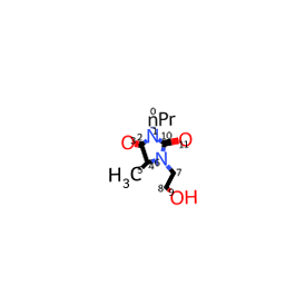 CCCN1C(=O)C(C)N(CCO)C1=O